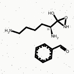 NCCCC[C@H](N)C1(O)NO1.O=Cc1ccccc1